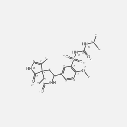 CCC1(CC(NC=O)c2ccc(OC)c(S(=O)(=O)NC(=O)NC(C)C)c2)C(=O)NC=C1C